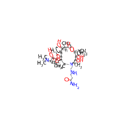 CC[C@H]1OC(=O)[C@H](C)[C@@H](O)[C@H](C)[C@@H](O[C@@H]2O[C@H](C)C[C@H](N(C)C)[C@H]2O)[C@](C)(O)C[C@@H](C)CN(CCNCCC(N)=O)[C@H](C)[C@@H](O)[C@]1(C)O